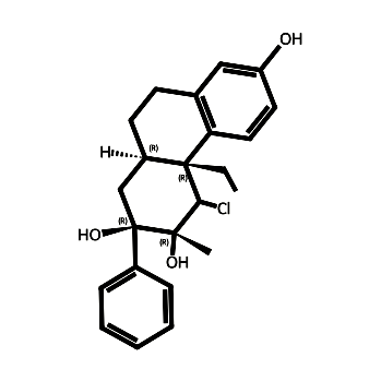 CC[C@]12c3ccc(O)cc3CC[C@@H]1C[C@@](O)(c1ccccc1)[C@@](C)(O)C2Cl